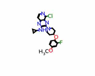 COc1ccc(OC2CCN(c3nc4c(Cl)nccc4nc3NC3CC3)CC2)c(F)c1